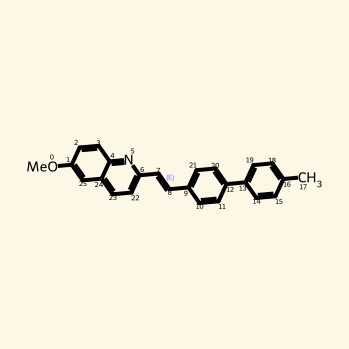 COc1ccc2nc(/C=C/c3ccc(-c4ccc(C)cc4)cc3)ccc2c1